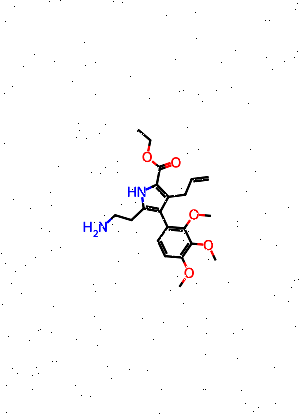 C=CCc1c(C(=O)OCC)[nH]c(CCN)c1-c1ccc(OC)c(OC)c1OC